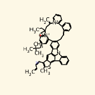 C=C/C=C\c1c(C)sc2c1cc1c3cc4c(cc3n3c5ccccc5c2c13)CCc1ccccc1-c1cccc[n+]1C(=C)CC(CC)(CC)[n+]1ccc(CC(C)(C)C)cc1-4